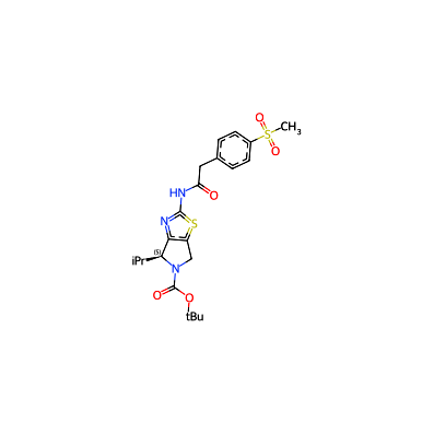 CC(C)[C@H]1c2nc(NC(=O)Cc3ccc(S(C)(=O)=O)cc3)sc2CN1C(=O)OC(C)(C)C